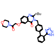 CCCCc1nc2ccc(OCC(=O)N3CCOCC3)cc2c(=O)n1Cc1ccc(-c2ccccc2-c2nnn[nH]2)cc1